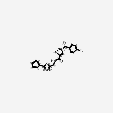 CC[C@H](c1ccc(F)cc1)n1cc(C(=O)NCc2nnc(-c3ccccc3)s2)nn1